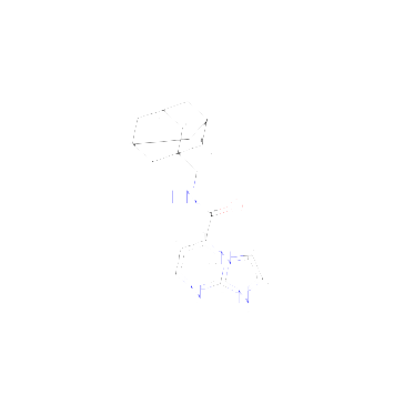 O=C(NCC12CC3CC(CC(C3)C1)C2)c1ccnc2nccn12